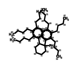 CCCCc1ccc(C2CCCCC2(P)c2ccc(CCCC)c(CCCC)c2CCCC)c(CCCC)c1CCCC